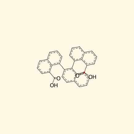 O=C(O)c1cccc2cccc(-c3ccc4ccccc4c3-c3cccc4cccc(C(=O)O)c34)c12